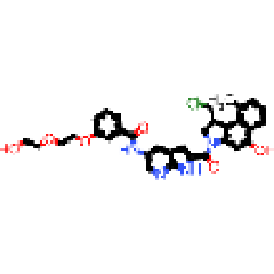 Cc1cccc2c(O)cc3c(c12)[C@H](CCl)CN3C(=O)c1cc2cc(NC(=O)c3cccc(OCCOCCO)c3)cnc2[nH]1